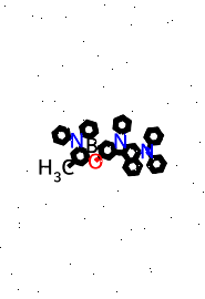 Cc1cc2c3c(c1)N(c1ccccc1)c1ccccc1B3c1cc3c(cc1O2)c1c2ccccc2c(N(c2ccccc2)c2ccccc2)cc1n3-c1ccccc1